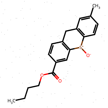 CCCCOC(=O)c1ccc2c(c1)[S+]([O-])c1ccc(C)cc1C2